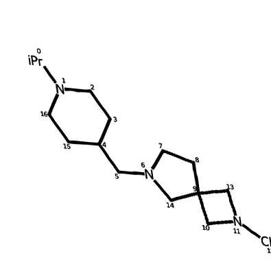 CC(C)N1CCC(CN2CCC3(CN(C)C3)C2)CC1